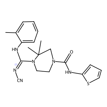 Cc1ccccc1N/C(=N/C#N)N1CCN(C(=O)Nc2cccs2)CC1(C)C